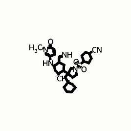 CC1CC(Nc2ccc(=O)n(C)c2)C(C=N)CC1C1(CC2CCCCC2)CCN(S(=O)(=O)C2CCC(C#N)CC2)C1